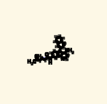 CN(C)C/C=C/C(=O)NC1CCc2c(-c3cnc4ccccc4c3)c3c(N)ncnc3n2C1